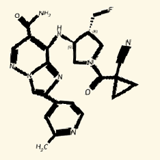 Cc1cc(-c2cn3ncc(C(N)=O)c(N[C@@H]4CN(C(=O)C5(C#N)CC5)C[C@H]4CF)c3n2)ccn1